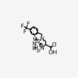 NC(CN(Cc1ccc(C(F)(F)F)cc1)S(N)(=O)=O)C(=O)O